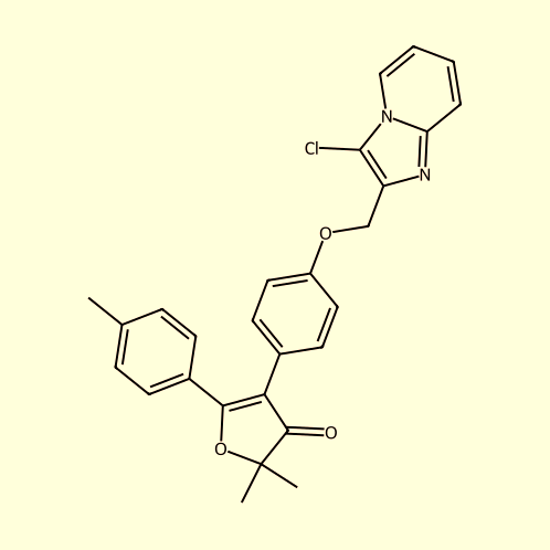 Cc1ccc(C2=C(c3ccc(OCc4nc5ccccn5c4Cl)cc3)C(=O)C(C)(C)O2)cc1